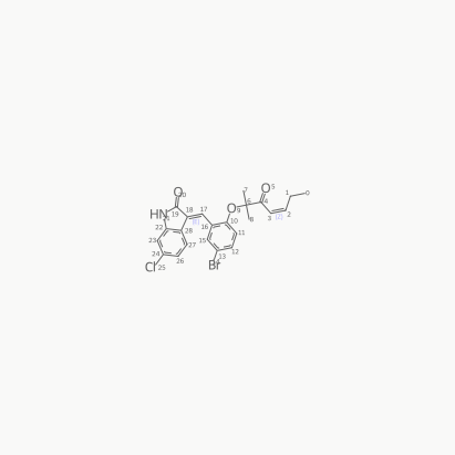 CC/C=C\C(=O)C(C)(C)Oc1ccc(Br)cc1/C=C1/C(=O)Nc2cc(Cl)ccc21